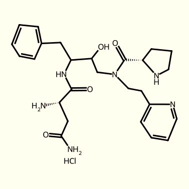 Cl.NC(=O)C[C@H](N)C(=O)NC(Cc1ccccc1)C(O)CN(CCc1ccccn1)C(=O)[C@@H]1CCCN1